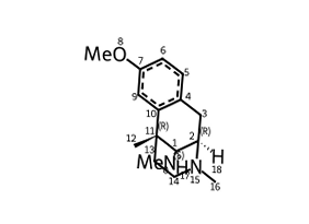 CN[C@@H]1[C@H]2Cc3ccc(OC)cc3[C@@]1(C)CCN2C